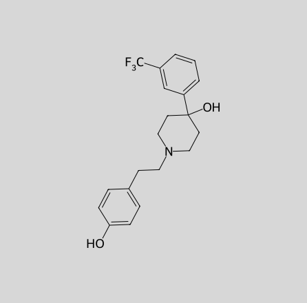 Oc1ccc(CCN2CCC(O)(c3cccc(C(F)(F)F)c3)CC2)cc1